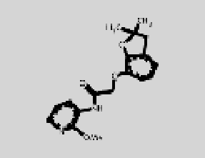 COc1ncccc1NC(=O)COc1cccc2c1OC(C)(C)C2